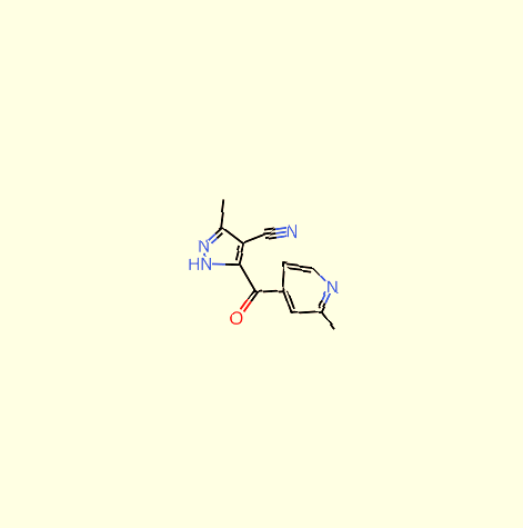 Cc1cc(C(=O)c2[nH]nc(C)c2C#N)ccn1